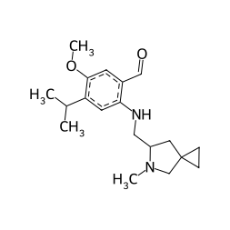 COc1cc(C=O)c(NCC2CC3(CC3)CN2C)cc1C(C)C